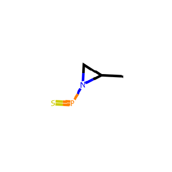 CC1CN1P=S